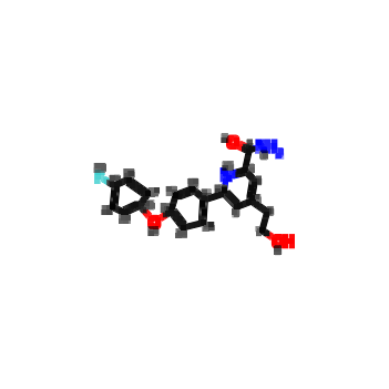 NC(=O)c1cc(CCO)cc(-c2ccc(Oc3ccc(F)cc3)cc2)n1